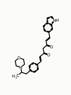 CC(Cc1ccc(C=CC(=O)CC(=O)C=Cc2ccc3cc[nH]c3c2)cc1)N1CCOCC1